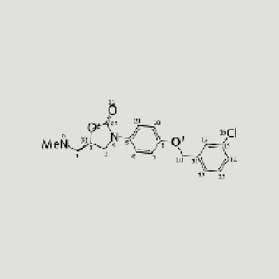 CNC[C@@H]1CN(c2ccc(OCc3cccc(Cl)c3)cc2)C(=O)O1